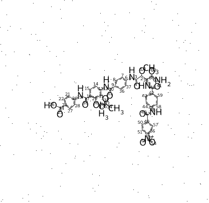 COC(C(=O)Nc1ccc(C(=O)Nc2ccc(C(=O)Nc3ccc(C(=O)O)cc3)c(O)c2OC(C)C)cc1)C(NC(=O)c1ccc(NC(=O)c2ccc([N+](=O)[O-])cc2)cc1)C(N)=O